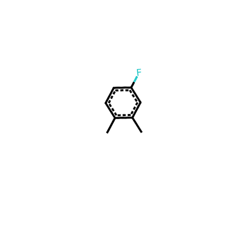 Cc1ccc(F)cc1C